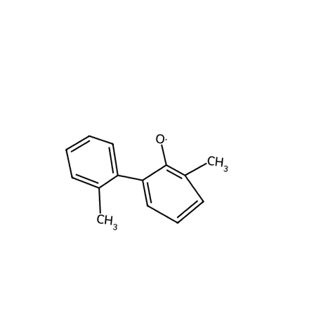 Cc1ccccc1-c1cccc(C)c1[O]